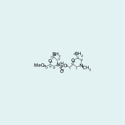 BC1CN(C)CC(CO[PH](=O)N2CC(B)OC(COC)C2)O1